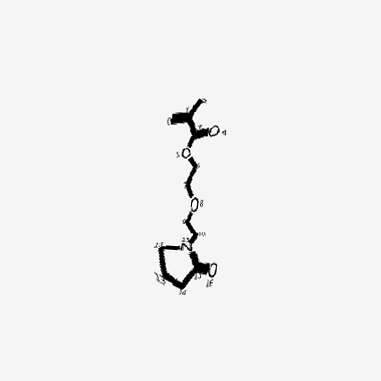 C=C(C)C(=O)OCCOCCN1CCCC1=O